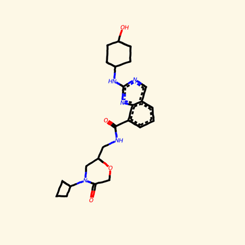 O=C(NCC1CN(C2CCC2)C(=O)CO1)c1cccc2cnc(NC3CCC(O)CC3)nc12